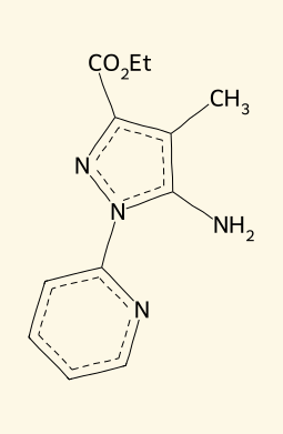 CCOC(=O)c1nn(-c2ccccn2)c(N)c1C